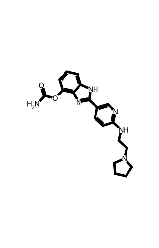 NC(=O)Oc1cccc2[nH]c(-c3ccc(NCCN4CCCC4)nc3)nc12